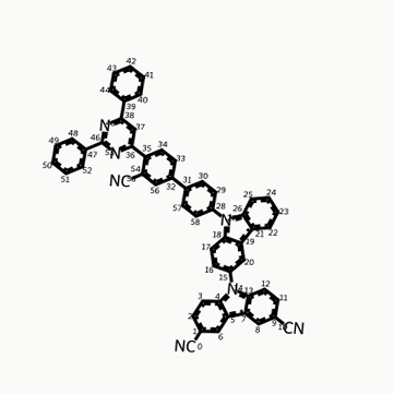 N#Cc1ccc2c(c1)c1cc(C#N)ccc1n2-c1ccc2c(c1)c1ccccc1n2-c1ccc(-c2ccc(-c3cc(-c4ccccc4)nc(-c4ccccc4)n3)c(C#N)c2)cc1